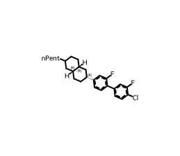 CCCCCC1CC[C@@H]2C[C@H](c3ccc(-c4ccc(Cl)c(F)c4)c(F)c3)CC[C@@H]2C1